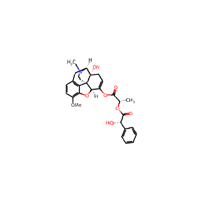 COc1ccc2c3c1O[C@@H]1C(OC(=O)[C@H](C)OC(=O)[C@@H](O)c4ccccc4)=CC[C@]4(O)[C@H](C2)N(C)CC[C@@]314